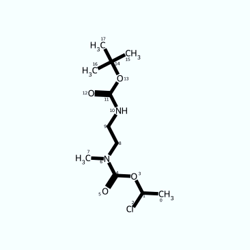 CC(Cl)OC(=O)N(C)CCNC(=O)OC(C)(C)C